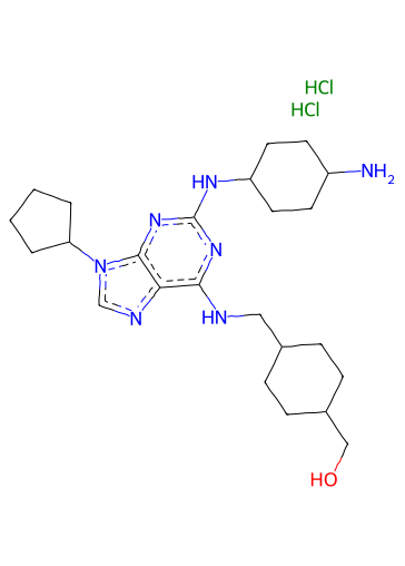 Cl.Cl.NC1CCC(Nc2nc(NCC3CCC(CO)CC3)c3ncn(C4CCCC4)c3n2)CC1